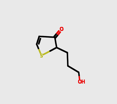 O=C1C=CSC1CCCO